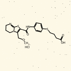 COCC1=C(C(=O)Nc2ccc(SCCCC(=O)O)cc2)SC2=NCCCN21.Cl